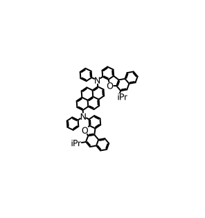 CC(C)c1cc2ccccc2c2c1oc1c(N(c3ccccc3)c3ccc4ccc5c(N(c6ccccc6)c6cccc7c6oc6c(C(C)C)cc8ccccc8c67)ccc6ccc3c4c65)cccc12